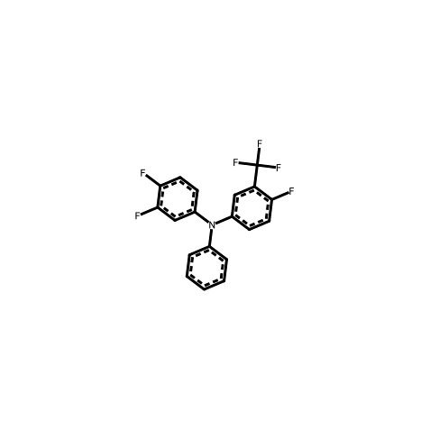 Fc1ccc(N(c2ccccc2)c2ccc(F)c(C(F)(F)F)c2)cc1F